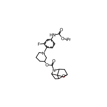 CC(C)OC(=O)Nc1ccc(N2CCCC(OC(=O)N3C4CC5CC3CC(C4)O5)C2)c(F)c1